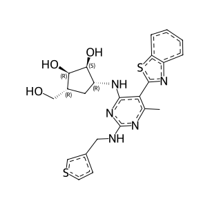 Cc1nc(NCc2ccsc2)nc(N[C@@H]2C[C@H](CO)[C@@H](O)[C@H]2O)c1-c1nc2ccccc2s1